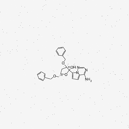 C[C@@]1(OCc2ccccc2)C[C@@H](COCc2ccccc2)OC1(O)c1ccc2c(N)ncnn12